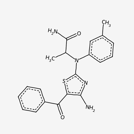 Cc1cccc(N(c2nc(N)c(C(=O)c3ccccc3)s2)C(C)C(N)=O)c1